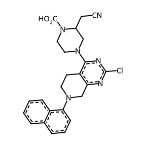 N#CCC1CN(c2nc(Cl)nc3c2CCN(c2cccc4ccccc24)C3)CCN1C(=O)O